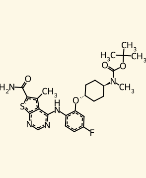 Cc1c(C(N)=O)sc2ncnc(Nc3ccc(F)cc3O[C@H]3CC[C@H](N(C)C(=O)OC(C)(C)C)CC3)c12